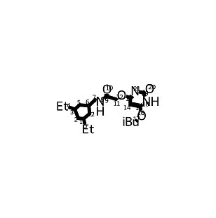 CCC1CC(CC)CC(CNC(=O)COc2cc(OC(C)CC)[nH]c(=O)n2)C1